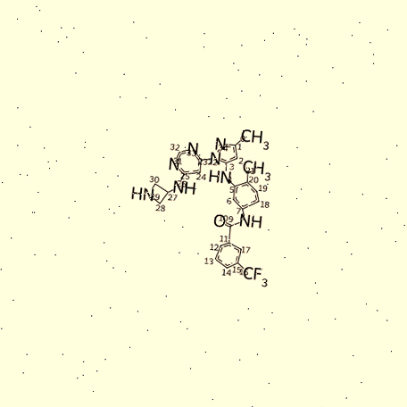 Cc1cc(Nc2cc(NC(=O)c3cccc(C(F)(F)F)c3)ccc2C)n(-c2cc(NC3CNC3)ncn2)n1